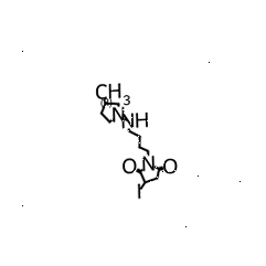 C[C@@H]1CCN(NCCCCN2C(=O)CC(I)C2=O)C1